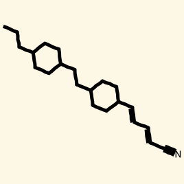 CCCC1CCC(CCC2CCC(C=CC=CC#N)CC2)CC1